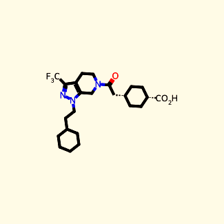 O=C(C[C@H]1CC[C@@H](C(=O)O)CC1)N1CCc2c(C(F)(F)F)nn(CCC3CCCCC3)c2C1